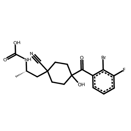 C[C@@H](CC1(C#N)CCC(O)(C(=O)c2cccc(F)c2Br)CC1)NC(=O)O